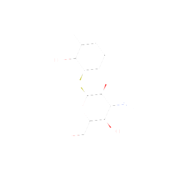 CC1CCC[C@@H](S[C@@H]2OC(CO)[C@H](O)C(N)[C@@H]2O)C1O